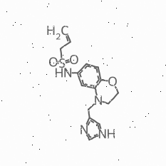 C=CCS(=O)(=O)Nc1ccc2c(c1)N(Cc1c[nH]cn1)CCO2